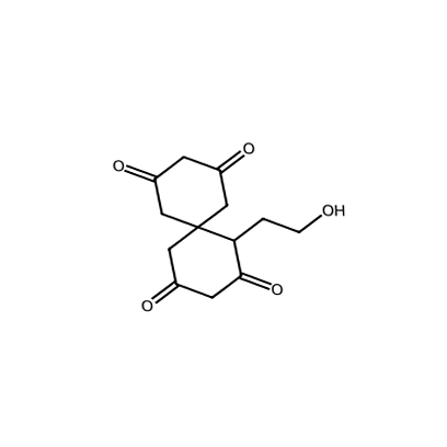 O=C1CC(=O)CC2(C1)CC(=O)CC(=O)C2CCO